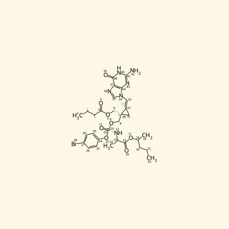 CCCC(=O)OC[C@@]1(CO[P@@](=O)(NC(C)C(=O)OC(C)CCC)Oc2ccc(Br)cc2)C/C1=C/n1cnc2c(=O)[nH]c(N)nc21